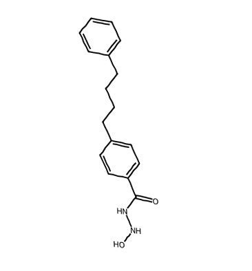 O=C(NNO)c1ccc(CCCCc2ccccc2)cc1